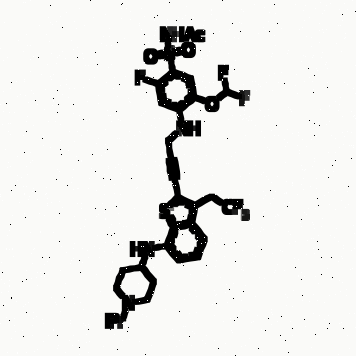 CC(=O)NS(=O)(=O)c1cc(OC(F)F)c(NCC#Cc2sc3c(NC4CCN(C(C)C)CC4)cccc3c2CC(F)(F)F)cc1F